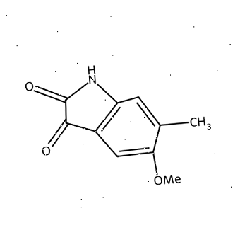 COc1cc2c(cc1C)NC(=O)C2=O